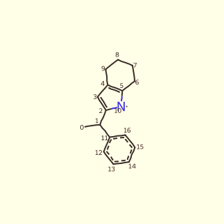 CC(C1=CC2=C(CCCC2)[N]1)c1ccccc1